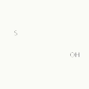 CC1(C)CCSc2cccc(O)c21